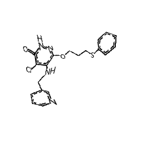 O=c1[nH]nc(OCCCSc2ccccc2)c(NCc2cccnc2)c1Cl